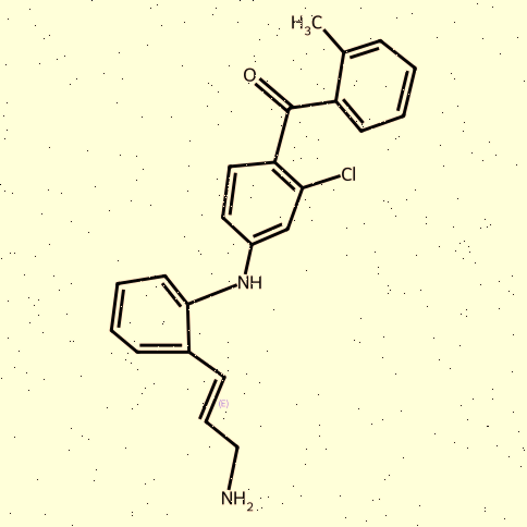 Cc1ccccc1C(=O)c1ccc(Nc2ccccc2/C=C/CN)cc1Cl